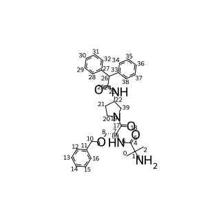 CC(C)(N)C(=O)N[C@H](COCc1ccccc1)C(=O)N1CCC(NC(=O)C(c2ccccc2)c2ccccc2)C1